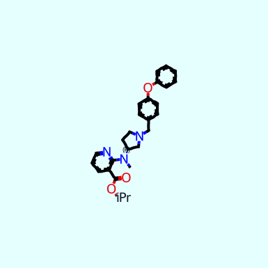 CC(C)OC(=O)c1cccnc1N(C)[C@@H]1CCN(Cc2ccc(Oc3ccccc3)cc2)C1